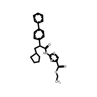 CCOC(=O)c1csc(NC(=O)C(CC2CCCC2)c2ccc(-c3ccccc3)cc2)n1